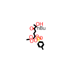 CCCCC(C)(O)C(=O)CCCC1(OS(=O)(=O)c2ccc(C)cc2)OC(C)O1